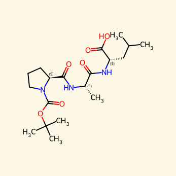 CC(C)C[C@H](NC(=O)[C@H](C)NC(=O)[C@@H]1CCCN1C(=O)OC(C)(C)C)C(=O)O